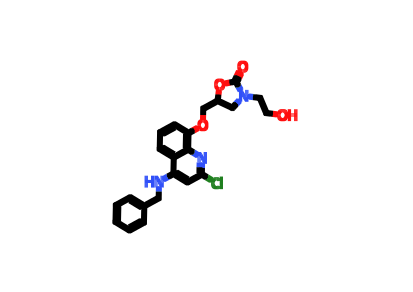 O=C1OC(COc2cccc3c(NCc4ccccc4)cc(Cl)nc23)CN1CCO